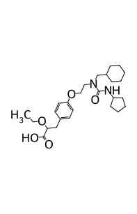 CCOC(Cc1ccc(OCCN(CC2CCCCC2)C(=O)NC2CCCC2)cc1)C(=O)O